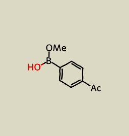 COB(O)c1ccc(C(C)=O)cc1